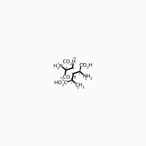 C[C@H](C[C@H](N)C(=O)O)C(=O)O.NC(CC(=O)O)C(=O)O